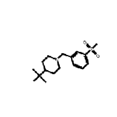 CC(C)(C)C1CCN(Cc2cccc(S(C)(=O)=O)c2)CC1